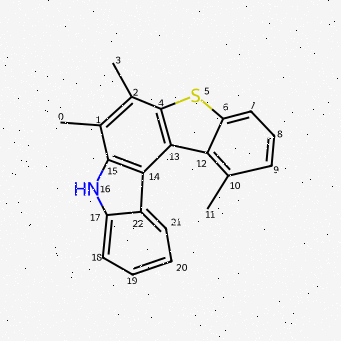 Cc1c(C)c2sc3cccc(C)c3c2c2c1[nH]c1ccccc12